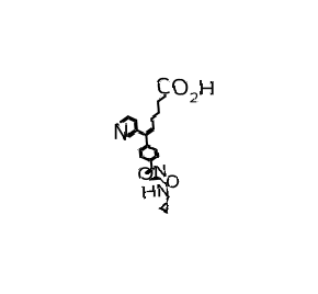 O=C(O)CCCCC=C(c1ccc(-c2nc(C(=O)NCC3CC3)co2)cc1)c1cccnc1